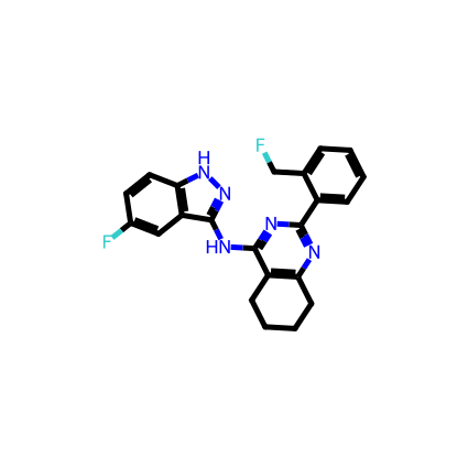 FCc1ccccc1-c1nc2c(c(Nc3n[nH]c4ccc(F)cc34)n1)CCCC2